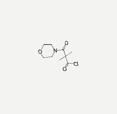 CC(C)(C(=O)Cl)C(=O)N1CCOCC1